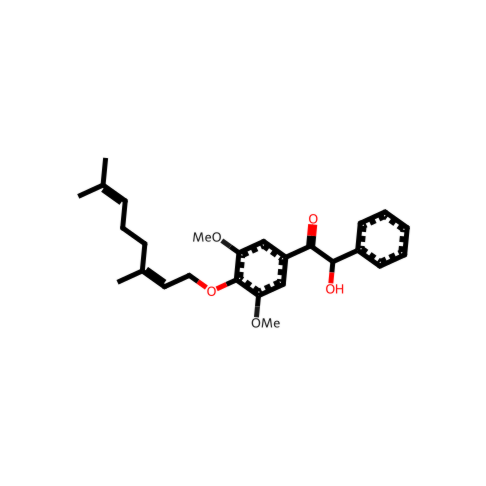 COc1cc(C(=O)C(O)c2ccccc2)cc(OC)c1OCC=C(C)CCC=C(C)C